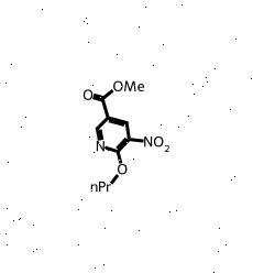 CCCOc1ncc(C(=O)OC)cc1[N+](=O)[O-]